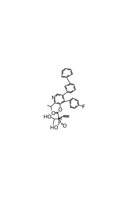 C#CC(C(=O)Oc1c(C(C)C)ncc(-c2cccc(-c3ccccc3)c2)c1-c1ccc(F)cc1)(C(C)O)[PH](=O)O